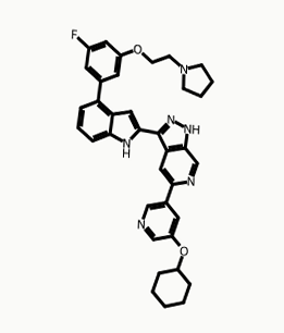 Fc1cc(OCCN2CCCC2)cc(-c2cccc3[nH]c(-c4n[nH]c5cnc(-c6cncc(OC7CCCCC7)c6)cc45)cc23)c1